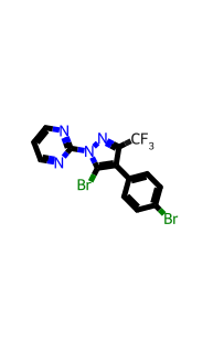 FC(F)(F)c1nn(-c2ncccn2)c(Br)c1-c1ccc(Br)cc1